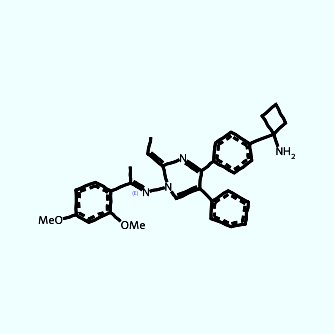 CC=C1N=C(c2ccc(C3(N)CCC3)cc2)C(c2ccccc2)=CN1/N=C(\C)c1ccc(OC)cc1OC